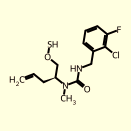 C=CC[C@@H](COS)N(C)C(=O)NCc1cccc(F)c1Cl